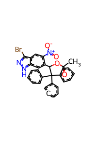 CC(=O)OC(c1cc2[nH]nc(Br)c2cc1[N+](=O)[O-])C(c1ccccc1)(c1ccccc1)c1ccccc1